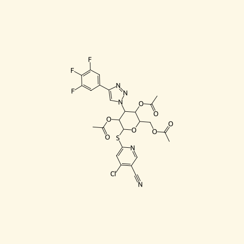 CC(=O)OCC1OC(Sc2cc(Cl)c(C#N)cn2)C(OC(C)=O)C(n2cc(-c3cc(F)c(F)c(F)c3)nn2)C1OC(C)=O